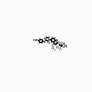 Cc1cc(OCC(C)(C)O)nc2ccc(-n3ccnc(Sc4ccc(O)cc4)c3=O)cc12